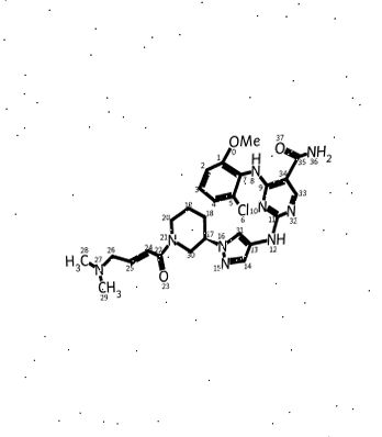 COc1cccc(Cl)c1Nc1nc(Nc2cnn([C@@H]3CCCN(C(=O)/C=C/CN(C)C)C3)c2)ncc1C(N)=O